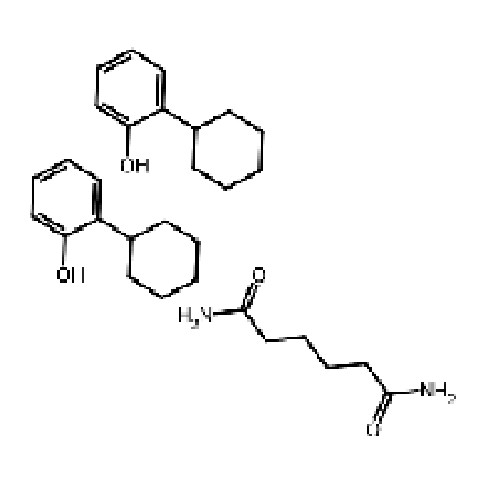 NC(=O)CCCCC(N)=O.Oc1ccccc1C1CCCCC1.Oc1ccccc1C1CCCCC1